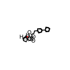 CC1(C)[C@H]2CC[C@@]13CS(=O)(=O)N(C(=O)CCc1ccc(-c4ccccc4)cc1)[C@H]3C2